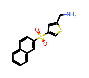 NCc1cc(S(=O)(=O)c2ccc3ccccc3c2)cs1